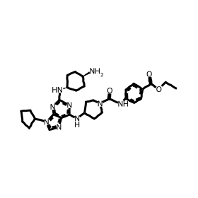 CCOC(=O)c1ccc(NC(=O)N2CCC(Nc3nc(N[C@H]4CC[C@H](N)CC4)nc4c3ncn4C3CCCC3)CC2)cc1